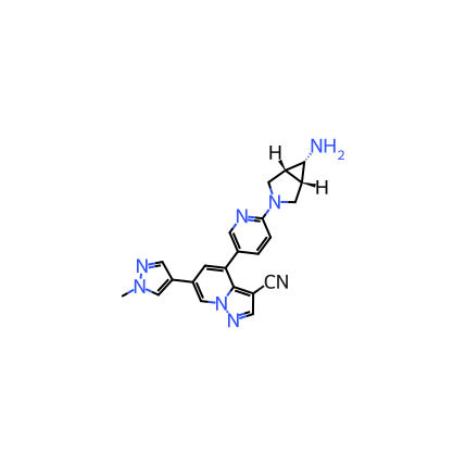 Cn1cc(-c2cc(-c3ccc(N4C[C@@H]5[C@H](N)[C@@H]5C4)nc3)c3c(C#N)cnn3c2)cn1